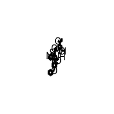 C=CC(=O)C1C[C@H](NC(=O)c2sc3nccc4c3c2NC(=O)N4c2ccc(Oc3ccccc3)cc2C)[C@@H](OC)C1